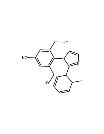 CC(C)Cc1cc(C#N)cc(CC(C)C)c1-n1ccnc1C1C=CC=CC1C